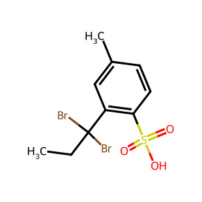 CCC(Br)(Br)c1cc(C)ccc1S(=O)(=O)O